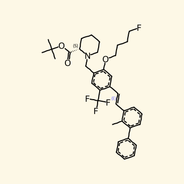 Cc1c(/C=C/c2cc(OCCCCF)c(CN3CCCC[C@H]3C(=O)OC(C)(C)C)cc2C(F)(F)F)cccc1-c1ccccc1